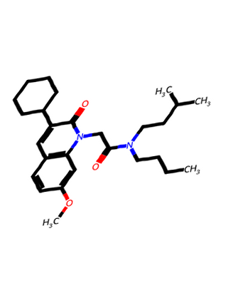 CCCCN(CCC(C)C)C(=O)Cn1c(=O)c(C2CCCCC2)cc2ccc(OC)cc21